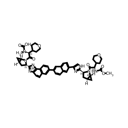 COC(=O)N[C@H](C(=O)N1[C@@H]2C[C@H]2C[C@H]1c1nc(-c2ccc3cc(-c4ccc5c(ccc6nc([C@@H]7C[C@H]8C[C@H]8N7C(=O)[C@H](C7CCOCC7)N(C)C(=O)O)[nH]c65)c4)ccc3c2)c[nH]1)C1CCOCC1